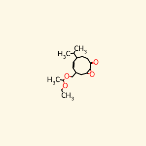 CCOC(C)OCC1C=CC(C(C)C)CCC(=O)C2OC2C1